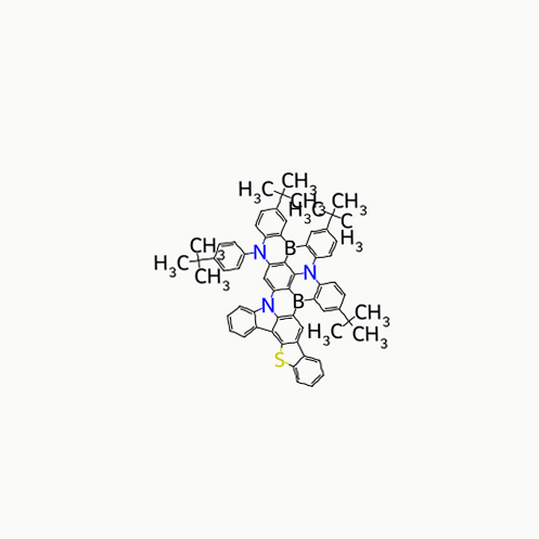 CC(C)(C)c1ccc(N2c3ccc(C(C)(C)C)cc3B3c4cc(C(C)(C)C)ccc4N4c5ccc(C(C)(C)C)cc5B5c6c(cc2c3c64)-n2c3ccccc3c3c4sc6ccccc6c4cc5c32)cc1